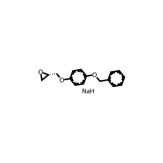 [NaH].c1ccc(COc2ccc(OC[C@@H]3CO3)cc2)cc1